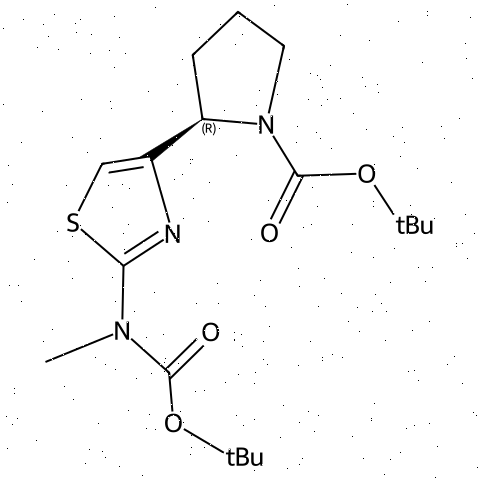 CN(C(=O)OC(C)(C)C)c1nc([C@H]2CCCN2C(=O)OC(C)(C)C)cs1